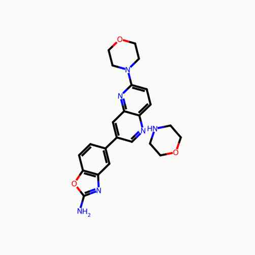 C1COCCN1.Nc1nc2cc(-c3cnc4ccc(N5CCOCC5)nc4c3)ccc2o1